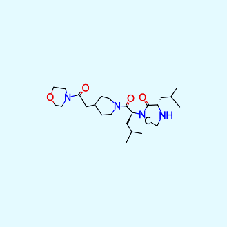 CC(C)C[C@@H]1NCCN([C@@H](CC(C)C)C(=O)N2CCC(CC(=O)N3CCOCC3)CC2)C1=O